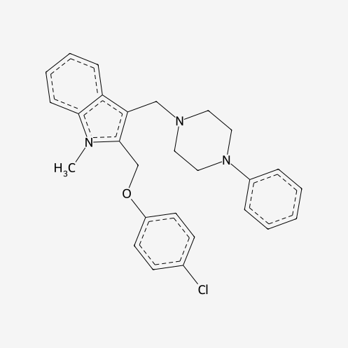 Cn1c(COc2ccc(Cl)cc2)c(CN2CCN(c3ccccc3)CC2)c2ccccc21